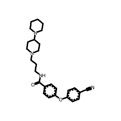 N#Cc1ccc(Oc2ccc(C(=O)NCCCN3CCC(N4CCCCC4)CC3)cc2)cc1